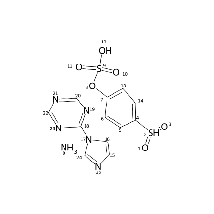 N.O=[SH](=O)c1ccc(OS(=O)(=O)O)cc1.c1cn(-c2ncncn2)cn1